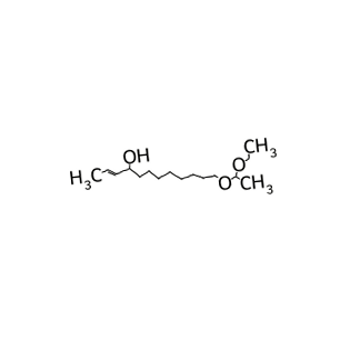 C/C=C/C(O)CCCCCCCCOC(C)OCC